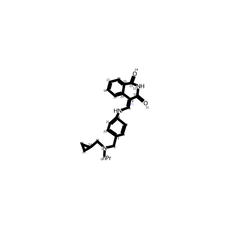 CCCN(Cc1ccc(N/C=C2/C(=O)NC(=O)c3ccccc32)cc1)CC1CC1